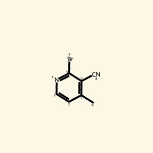 Cc1ccnc(Br)c1C#N